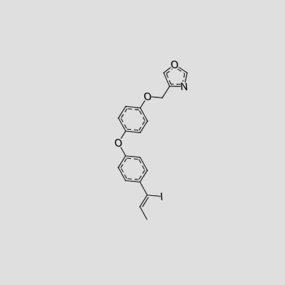 C/C=C(\I)c1ccc(Oc2ccc(OCc3cocn3)cc2)cc1